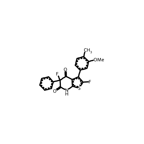 COc1cc(-c2c(F)sc3c2C(=O)C(F)(c2ccccc2)C(=O)N3)ccc1C